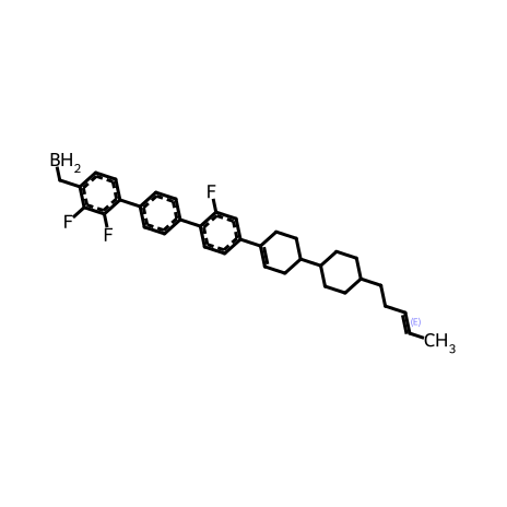 BCc1ccc(-c2ccc(-c3ccc(C4=CCC(C5CCC(CC/C=C/C)CC5)CC4)cc3F)cc2)c(F)c1F